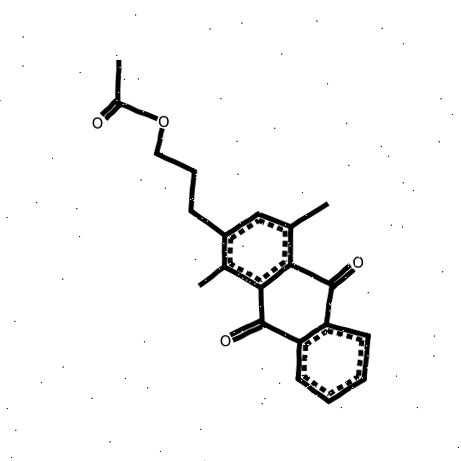 CC(=O)OCCCc1cc(C)c2c(c1C)C(=O)c1ccccc1C2=O